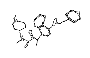 CC(NC(=O)N(C)C1CCN(C)CC1)c1ccc(OCc2ccncc2)c2ccccc12